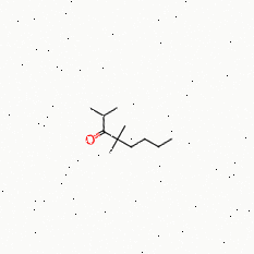 CCCCC(C)(C)C(=O)C(C)C